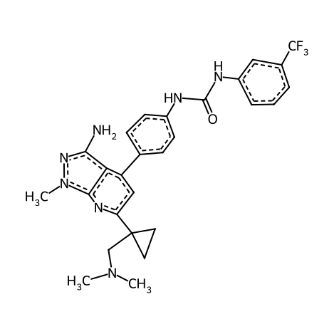 CN(C)CC1(c2cc(-c3ccc(NC(=O)Nc4cccc(C(F)(F)F)c4)cc3)c3c(N)nn(C)c3n2)CC1